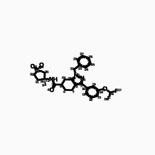 C[C@]1(NC(=O)C2CCc3c(-c4cccc(OC(F)F)c4)nn(Cc4ccccc4)c3C2)CCS(=O)(=O)C1